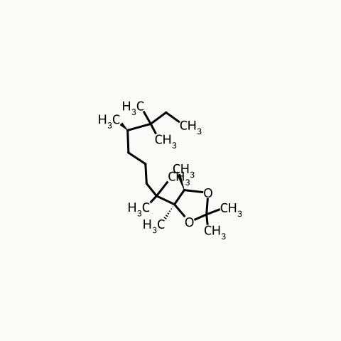 CCC(C)(C)[C@H](C)CCCC(C)(C)[C@]1(C)OC(C)(C)O[C@@H]1C